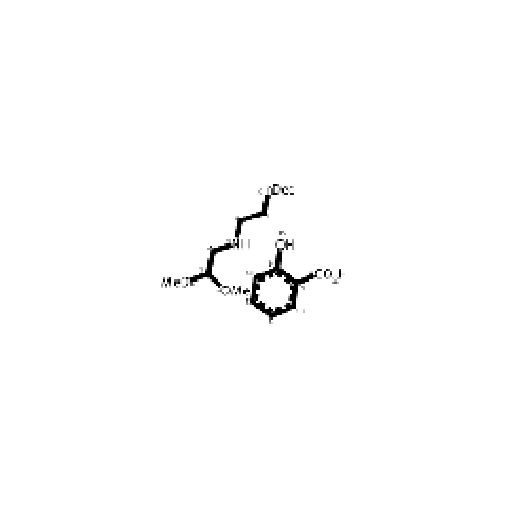 CCCCCCCCCCCCNCC(OC)OC.O=C(O)c1ccccc1O